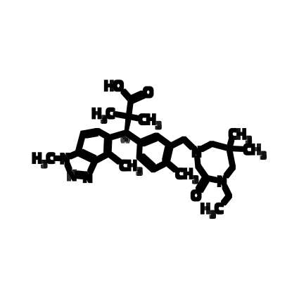 CCN1CC(C)(C)CN(Cc2cc([C@@H](c3ccc4c(nnn4C)c3C)C(C)(C)C(=O)O)ccc2C)CC1=O